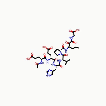 CCCC(NC(=O)[C@@H]1CCCN1C(=O)[C@@H](NC(=O)[C@H](Cc1c[nH]cn1)NC(=O)[C@H](CCC(=O)O)NC(=O)[C@H](CCC(=O)O)NC(C)=O)C(C)C)C(=O)C(=O)NCC(=O)O